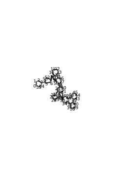 c1ccc(-c2ccc(-n3c4ccccc4c4ccc(-c5ccc6c(c5)c5ccccc5n6-c5ccc6c7ccccc7c7ccccc7c6c5)cc43)cc2)cc1